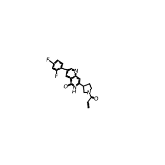 C=CC(=O)N1CCC(c2cc3ncc(-c4ccc(F)cc4F)cc3c(=O)[nH]2)C1